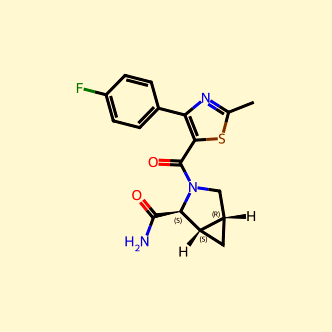 Cc1nc(-c2ccc(F)cc2)c(C(=O)N2C[C@@H]3C[C@@H]3[C@H]2C(N)=O)s1